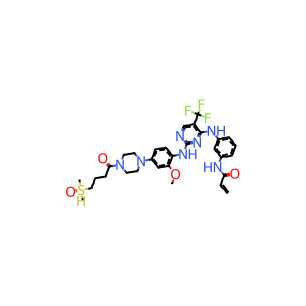 C=CC(=O)Nc1cccc(Nc2nc(Nc3ccc(N4CCN(C(=O)CCC[SH](C)(C)=O)CC4)cc3OC)ncc2C(F)(F)F)c1